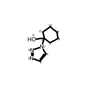 OC1(n2ccnn2)CCCCC1